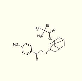 CCC(C)(C)C(=O)OC12CC3CC(CC(OCC(=O)c4ccc(O)cc4)(C3)C1)C2